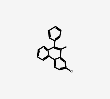 Clc1ccc2c(c1)c(I)c(-c1ccccc1)c1ccccc12